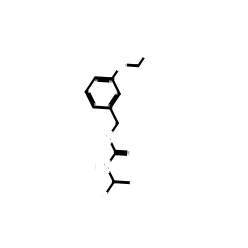 CCCCC(C)NC(=O)NCc1cccc(OCC(F)(F)F)c1